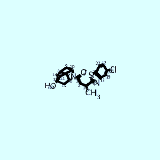 CC(CC(=O)N1C2CC3CC1CC(O)(C3)C2)c1nc2cc(Cl)ccc2s1